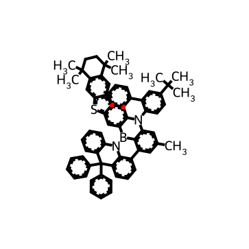 Cc1cc2c3c(c1)N(c1ccc(C(C)(C)C)cc1-c1ccccc1)c1cc4c(cc1B3N1c3ccccc3C(c3ccccc3)(c3ccccc3)c3cccc-2c31)sc1cc2c(cc14)C(C)(C)CCC2(C)C